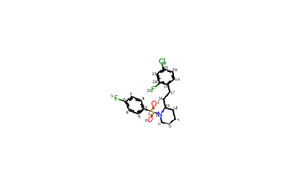 O=S(=O)(c1ccc(F)cc1)N1CCCCC1CCc1ccc(Cl)cc1F